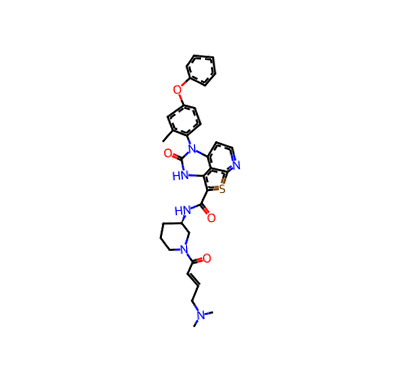 Cc1cc(Oc2ccccc2)ccc1N1C(=O)Nc2c(C(=O)N[C@@H]3CCCN(C(=O)/C=C/CN(C)C)C3)sc3nccc1c23